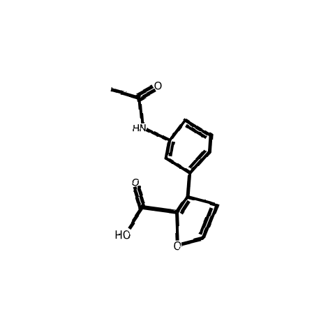 CC(=O)Nc1cccc(-c2ccoc2C(=O)O)c1